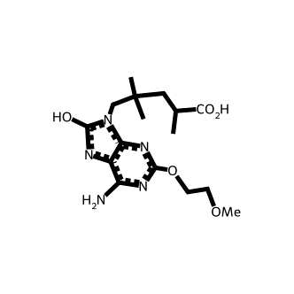 COCCOc1nc(N)c2nc(O)n(CC(C)(C)CC(C)C(=O)O)c2n1